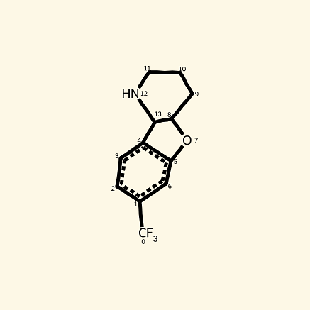 FC(F)(F)c1ccc2c(c1)OC1CCCNC21